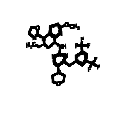 CC[C@@H]1C[C@H](Nc2ncc(N3CCOCC3)c(Cc3cc(C(F)(F)F)cc(C(F)(F)F)c3)n2)c2nc(OC)ccc2N1C1=NCCO1